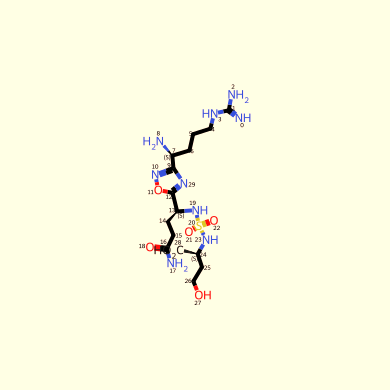 N=C(N)NCCC[C@H](N)c1noc([C@H](CCC(N)=O)NS(=O)(=O)N[C@@H](CCO)C(=O)O)n1